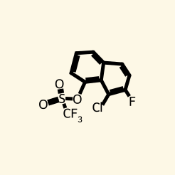 O=S(=O)(Oc1cccc2ccc(F)c(Cl)c12)C(F)(F)F